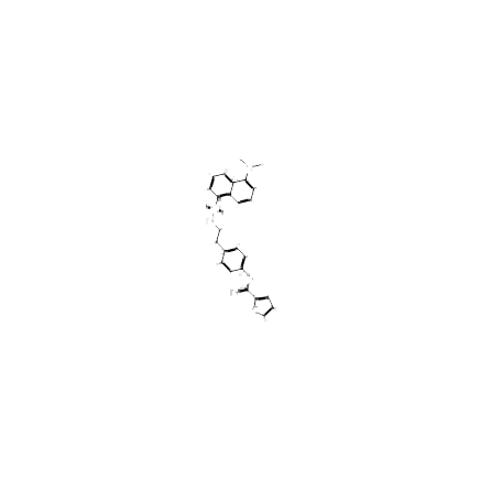 CN(C)c1cccc2c(S(=O)(=O)NCCc3ccc(NC(=N)c4cccs4)cc3)cccc12